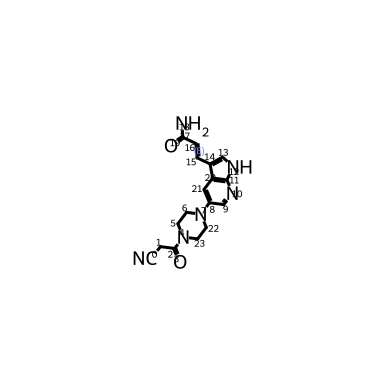 N#CCC(=O)N1CCN(c2cnc3[nH]cc(/C=C/C(N)=O)c3c2)CC1